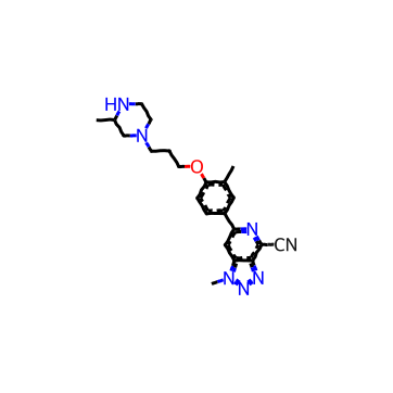 Cc1cc(-c2cc3c(nnn3C)c(C#N)n2)ccc1OCCCN1CCNC(C)C1